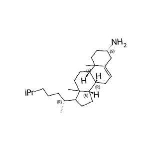 CC(C)CCC[C@@H](C)C1CC[C@H]2[C@H]3CC=C4C[C@@H](N)CCC4(C)[C@H]3CCC12C